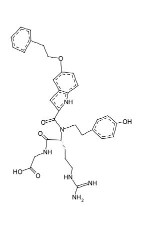 N=C(N)NCCC[C@H](C(=O)NCC(=O)O)N(CCc1ccc(O)cc1)C(=O)c1cc2cc(OCCc3ccccc3)ccc2[nH]1